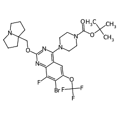 CC(C)(C)OC(=O)N1CCN(c2nc(OCC34CCCN3CCC4)nc3c(F)c(Br)c(OC(F)(F)F)cc23)CC1